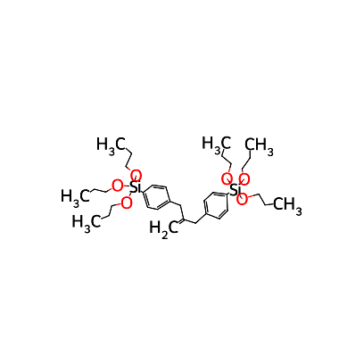 C=C(Cc1ccc([Si](OCCC)(OCCC)OCCC)cc1)Cc1ccc([Si](OCCC)(OCCC)OCCC)cc1